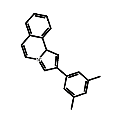 Cc1cc(C)cc(C2=CC3c4ccccc4C=C[N+]3=C2)c1